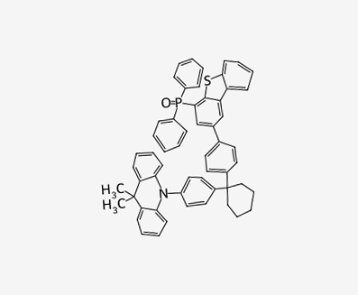 CC1(C)c2ccccc2N(c2ccc(C3(c4ccc(-c5cc(P(=O)(c6ccccc6)c6ccccc6)c6sc7ccccc7c6c5)cc4)CCCCC3)cc2)c2ccccc21